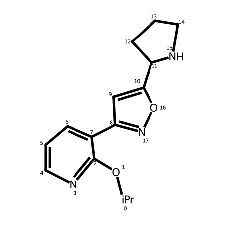 CC(C)Oc1ncccc1-c1cc(C2CCCN2)on1